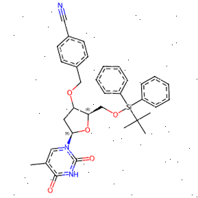 Cc1cn([C@H]2CC(OCc3ccc(C#N)cc3)[C@@H](CO[Si](c3ccccc3)(c3ccccc3)C(C)(C)C)O2)c(=O)[nH]c1=O